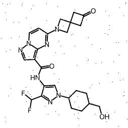 O=C1CC2(C1)CN(c1ccn3ncc(C(=O)Nc4cn(C5CCC(CO)CC5)nc4C(F)F)c3n1)C2